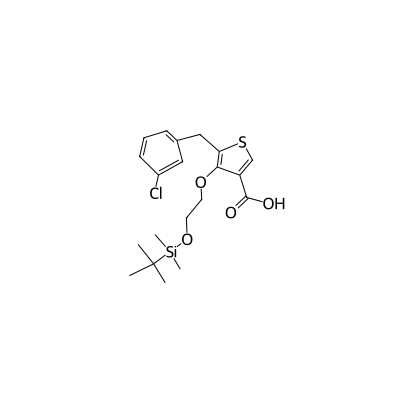 CC(C)(C)[Si](C)(C)OCCOc1c(C(=O)O)csc1Cc1cccc(Cl)c1